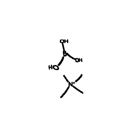 C[N+](C)(C)C.OB(O)O